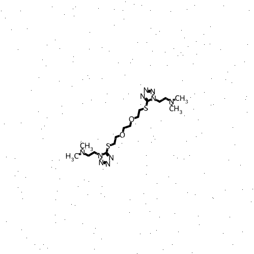 CN(C)CCn1nnnc1SCCOCCOCCSc1nnnn1CCN(C)C